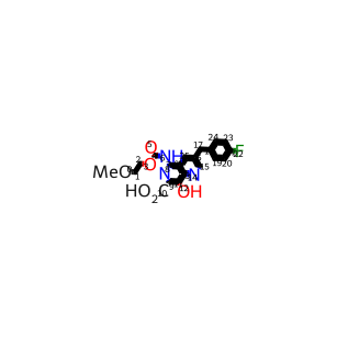 COCCOC(=O)Nc1nc(C(=O)O)c(O)c2ncc(Cc3ccc(F)cc3)cc12